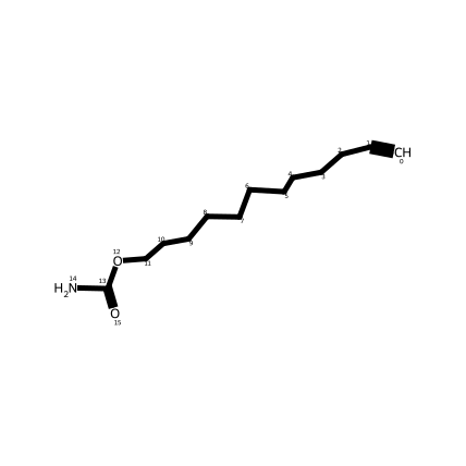 C#CCCCCCCCCCCOC(N)=O